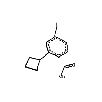 Fc1cccc(C2CCC2)c1.O=CO